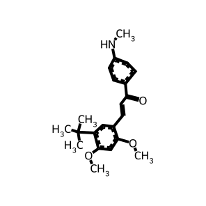 CNc1ccc(C(=O)/C=C/c2cc(C(C)(C)C)c(OC)cc2OC)cc1